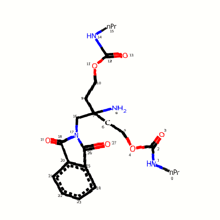 CCCNC(=O)OCCC(N)(CCOC(=O)NCCC)CN1C(=O)c2ccccc2C1=O